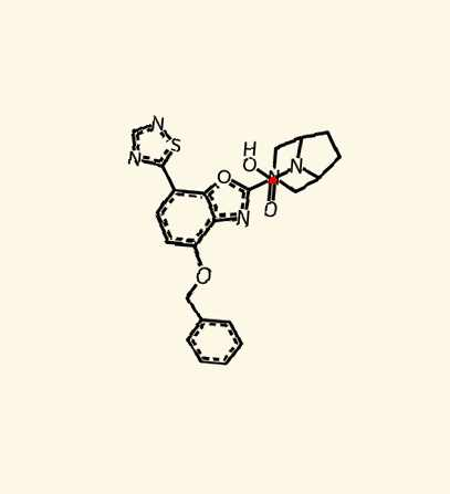 O=C(O)N1C2CCC1CN(c1nc3c(OCc4ccccc4)ccc(-c4ncns4)c3o1)C2